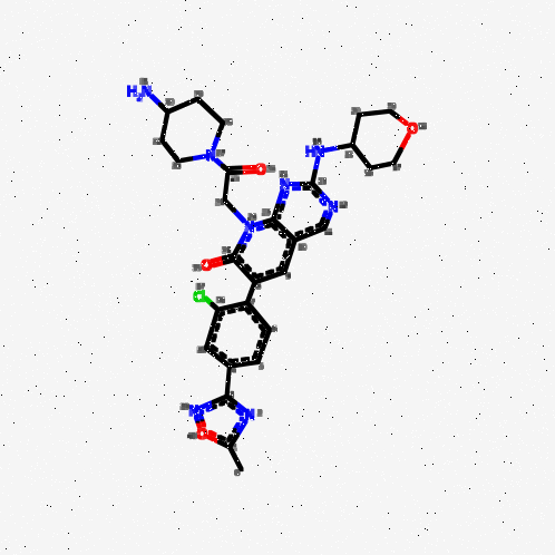 Cc1nc(-c2ccc(-c3cc4cnc(NC5CCOCC5)nc4n(CC(=O)N4CCC(N)CC4)c3=O)c(Cl)c2)no1